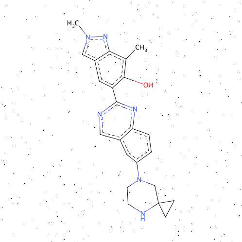 Cc1c(O)c(-c2ncc3cc(N4CCNC5(CC5)C4)ccc3n2)cc2cn(C)nc12